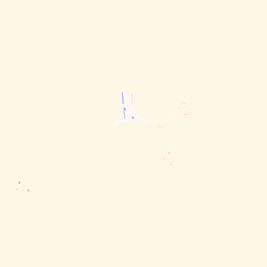 C/C=C(/C)OC(=O)NC1CCC(C(C)=O)CC1